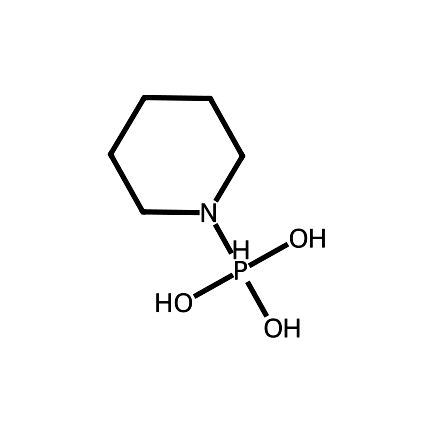 O[PH](O)(O)N1CCCCC1